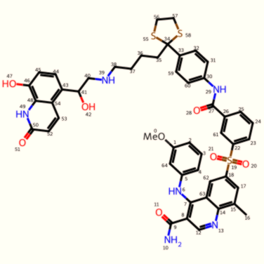 COc1cccc(Nc2c(C(N)=O)cnc3c(C)cc(S(=O)(=O)c4cccc(C(=O)Nc5ccc(C6(CCCCNCC(O)c7ccc(O)c8[nH]c(=O)ccc78)SCCS6)cc5)c4)cc23)c1